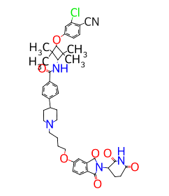 CC1(C)[C@H](NC(=O)c2ccc(C3CCN(CCCCOc4ccc5c(c4)C(=O)N(C4CCC(=O)NC4=O)C5=O)CC3)cc2)C(C)(C)[C@H]1Oc1ccc(C#N)c(Cl)c1